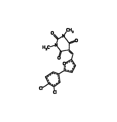 CN1C(=O)C(=Cc2ccc(-c3ccc(Cl)c(Cl)c3)o2)C(=O)N(C)C1=O